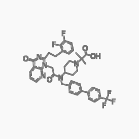 CC(C)(C(=O)O)N1CCC(N(Cc2ccc(-c3ccc(C(F)(F)F)cc3)cc2)C(=O)Cn2c(CCc3cccc(F)c3F)nc(=O)c3cccnc32)CC1